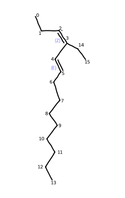 CC/[C]=C(\C=C\CCCCCCCC)CC